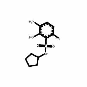 Nc1ccc(Cl)c(S(=O)(=O)NC2CCCC2)c1O